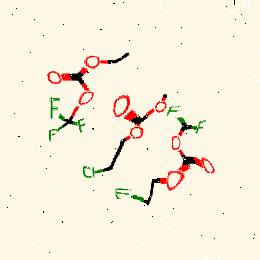 CCOC(=O)OC(F)(F)F.COC(=O)OCCCl.O=C(OCCF)OC(F)F